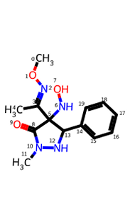 CO/N=C(\C)C1(NO)C(=O)N(C)NC1c1ccccc1